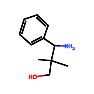 CC(C)(CO)C(N)c1ccccc1